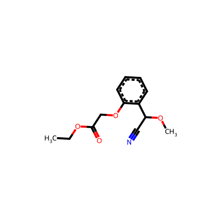 CCOC(=O)COc1ccccc1C(C#N)OC